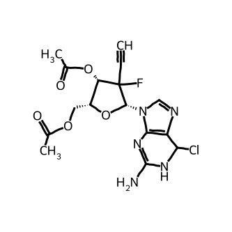 C#CC1(F)[C@@H](OC(C)=O)[C@@H](COC(C)=O)O[C@H]1n1cnc2c1N=C(N)NC2Cl